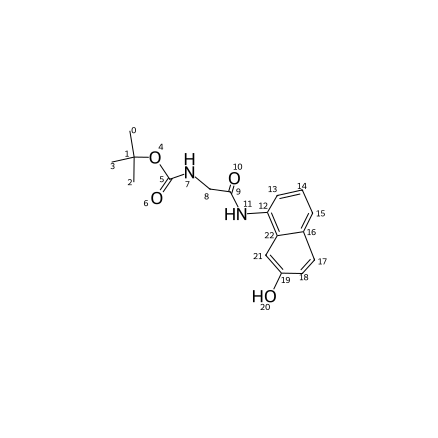 CC(C)(C)OC(=O)NCC(=O)Nc1cccc2ccc(O)cc12